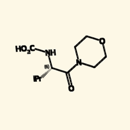 CC(C)[C@H](NC(=O)O)C(=O)N1CCOCC1